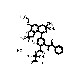 CCOc1cc2c(c3c1OC(C)(C)C3)C(c1ccc(C(=O)NC(C)(C)C(=O)O)c(NC(=O)c3ccccn3)c1)=NC(C)(C)C2.Cl